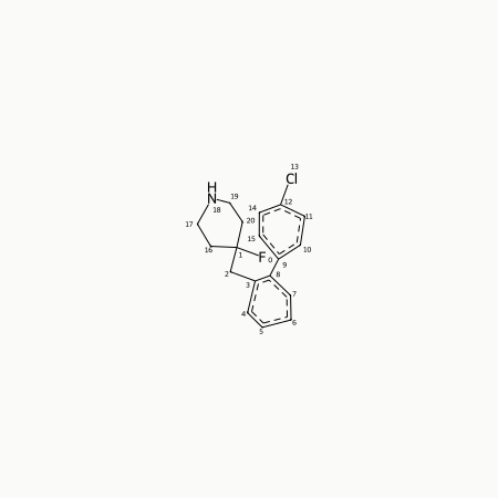 FC1(Cc2ccccc2-c2ccc(Cl)cc2)CCNCC1